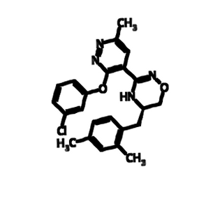 Cc1ccc(C[C@@H]2CON=C(c3cc(C)nnc3Oc3cccc(Cl)c3)N2)c(C)c1